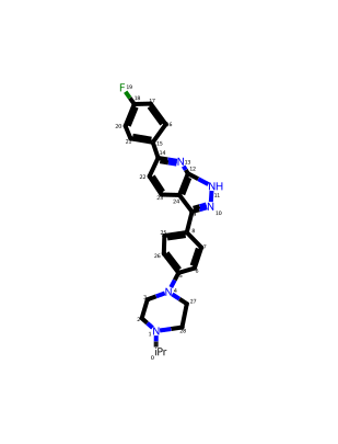 CC(C)N1CCN(c2ccc(-c3n[nH]c4nc(-c5ccc(F)cc5)ccc34)cc2)CC1